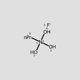 CCC[N+](O)(O)O.[F-]